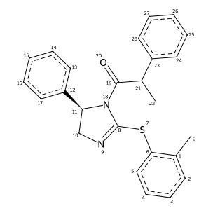 Cc1ccccc1SC1=NC[C@@H](c2ccccc2)N1C(=O)C(C)c1ccccc1